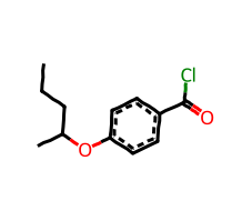 CCCC(C)Oc1ccc(C(=O)Cl)cc1